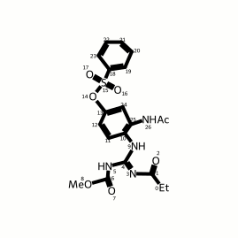 CCC(=O)/N=C(/NC(=O)OC)Nc1ccc(OS(=O)(=O)c2ccccc2)cc1NC(C)=O